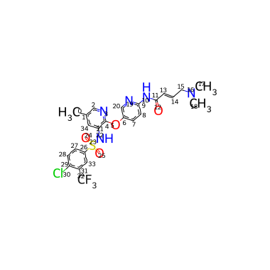 Cc1cnc(Oc2ccc(NC(=O)/C=C/CN(C)C)nc2)c(NS(=O)(=O)c2ccc(Cl)c(C(F)(F)F)c2)c1